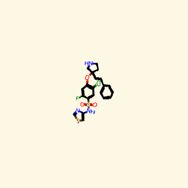 O=S(=O)(Nc1cscn1)c1cc(Cl)c(OC2(CCc3ccccc3)CCNC2)cc1F